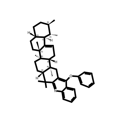 C[C@@H]1[C@H]2C3=CC[C@@H]4[C@@]5(C)Cc6c(nc7ccccc7c6Oc6ccccc6)C(C)(C)[C@@H]5CC[C@@]4(C)[C@]3(C)CC[C@@H]2CC[C@H]1C